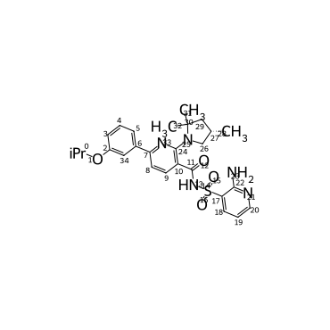 CC(C)Oc1cccc(-c2ccc(C(=O)NS(=O)(=O)c3cccnc3N)c(N3C[C@@H](C)CC3(C)C)n2)c1